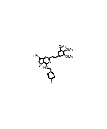 CCCc1nn(C)c2c(NCc3ccc(F)cc3)nc(C=Cc3cc(OC)c(OC)c(OC)c3)nc12